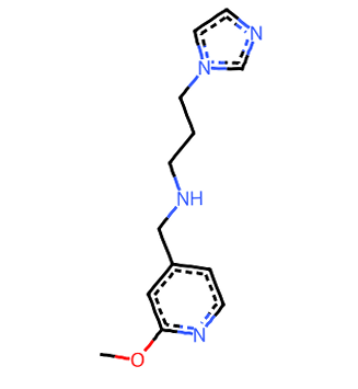 COc1cc(CNCCCn2ccnc2)ccn1